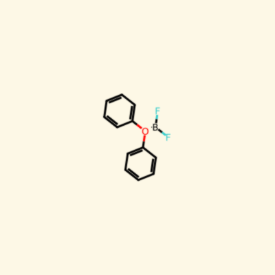 F[B]F.c1ccc(Oc2ccccc2)cc1